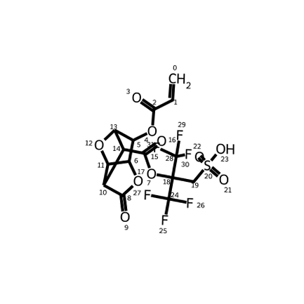 C=CC(=O)OC1C2OC(=O)C3C2OC1C3C(=O)OC(CS(=O)(=O)O)(C(F)(F)F)C(F)(F)F